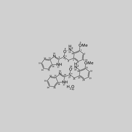 COc1cccc(C[S+]([O-])c2nc3ccccc3[nH]2)c1N.COc1cccc(C[S+]([O-])c2nc3ccccc3[nH]2)c1N.O